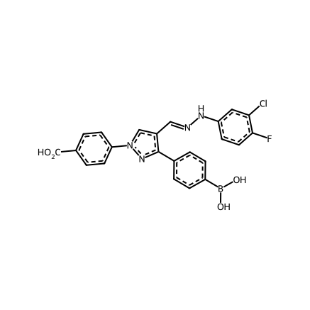 O=C(O)c1ccc(-n2cc(/C=N/Nc3ccc(F)c(Cl)c3)c(-c3ccc(B(O)O)cc3)n2)cc1